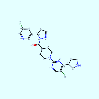 O=C(C1CCN(c2ncc(F)c(C3CCNC3)n2)CC1)N1N=CC[C@H]1c1cncc(F)c1